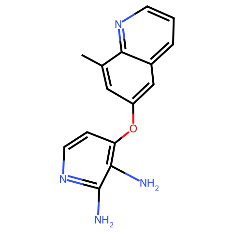 Cc1cc(Oc2ccnc(N)c2N)cc2cccnc12